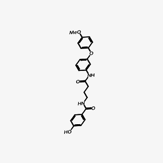 COc1ccc(Oc2cccc(NC(=O)CCCNC(=O)c3ccc(O)cc3)c2)cc1